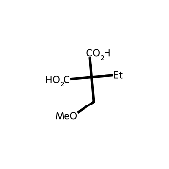 CCC(COC)(C(=O)O)C(=O)O